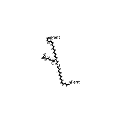 CCCCC/C=C\C/C=C\CCCCCCCCOCCN(CCCCCCCC/C=C\C/C=C\CCCCC)C(=O)OCCCN(C)C